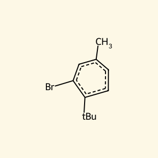 Cc1ccc(C(C)(C)C)c(Br)c1